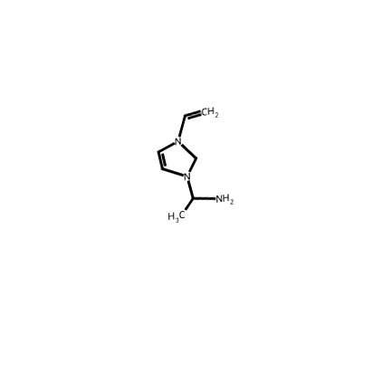 C=CN1C=CN(C(C)N)C1